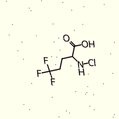 O=C(O)C(CCC(F)(F)F)NCl